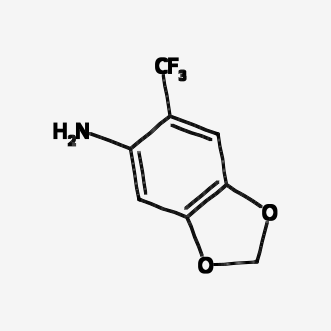 Nc1cc2c(cc1C(F)(F)F)OCO2